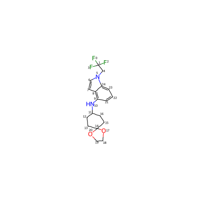 FC(F)(F)Cn1ccc2c(NC3CCC4(CC3)OCCO4)cccc21